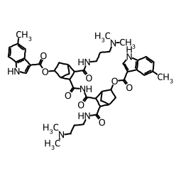 Cc1ccc2[nH]cc(C(=O)OC3CC4CC3C(C(=O)NC(=O)C3C5CC(CC5OC(=O)c5c[nH]c6ccc(C)cc56)C3C(=O)NCCCN(C)C)C4C(=O)NCCCN(C)C)c2c1